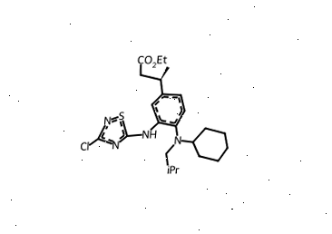 CCOC(=O)C[C@@H](C)c1ccc(N(CC(C)C)C2CCCCC2)c(Nc2nc(Cl)ns2)c1